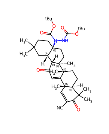 CC1(C)CC[C@]2(N(NC(=O)OC(C)(C)C)C(=O)OC(C)(C)C)CC[C@]3(C)[C@H](C(=O)C=C4[C@@]5(C)C=C(C#N)C(=O)C(C)(C)[C@@H]5CC[C@]43C)[C@@H]2C1